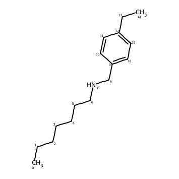 CCCCCCCNCc1ccc(CC)cc1